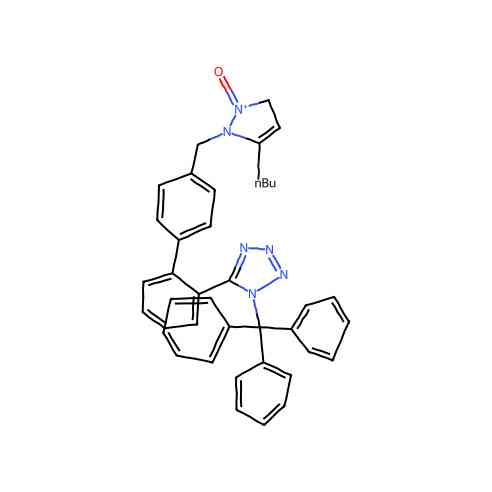 CCCCC1=CC[N+](=O)N1Cc1ccc(-c2ccccc2-c2nnnn2C(c2ccccc2)(c2ccccc2)c2ccccc2)cc1